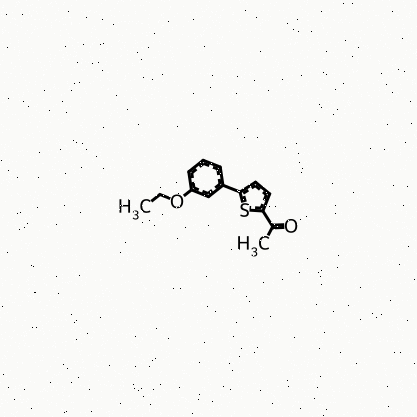 CCOc1cccc(-c2ccc(C(C)=O)s2)c1